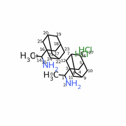 CC(N)C12CC3CC(CC(C3)C1)C2.CC(N)C12CC3CC(CC(C3)C1)C2.Cl.Cl